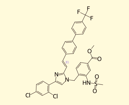 COC(=O)c1ccc(Cn2cc(-c3ccc(Cl)cc3Cl)nc2/C=C/c2ccc(-c3ccc(C(F)(F)F)cc3)cc2)c(NS(C)(=O)=O)c1